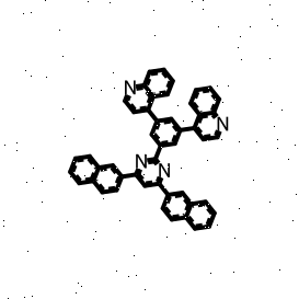 c1ccc2cc(-c3cc(-c4ccc5ccccc5c4)nc(-c4cc(-c5ccnc6ccccc56)cc(-c5ccnc6ccccc56)c4)n3)ccc2c1